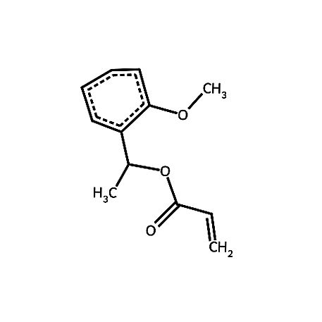 C=CC(=O)OC(C)c1ccccc1OC